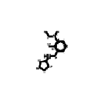 CCN(C)c1cccc(CNC2CCCC2)c1C